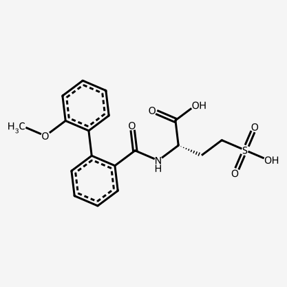 COc1ccccc1-c1ccccc1C(=O)N[C@@H](CCS(=O)(=O)O)C(=O)O